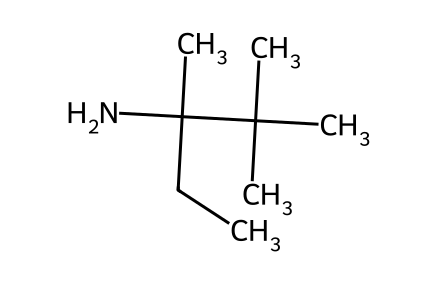 CCC(C)(N)C(C)(C)C